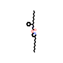 CCCCCCCCCc1ccc(OC(=O)/C=C/C(CCCCCCCC)c2ccccc2)nc1